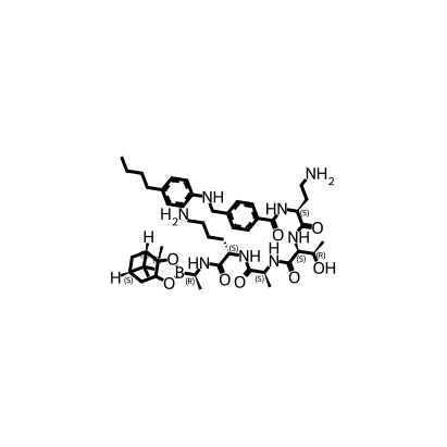 CCCCc1ccc(NCc2ccc(C(=O)N[C@@H](CCN)C(=O)N[C@H](C(=O)N[C@@H](C)C(=O)N[C@@H](CCCCN)C(=O)N[C@@H](C)B3OC4C[C@@H]5C[C@@H](C5(C)C)[C@]4(C)O3)[C@@H](C)O)cc2)cc1